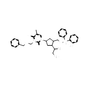 Cc1cn(C2CC(CO[Si](c3ccccc3)(c3ccccc3)C(C)(C)C)C(C(N)CN)C2)c(=O)n(COCc2ccccc2)c1=O